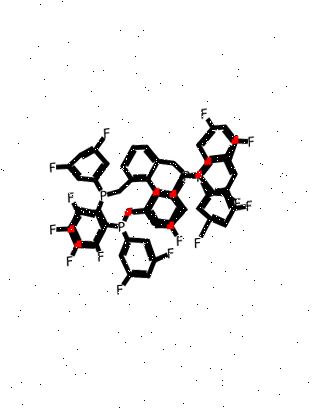 Fc1cc(F)cc(P(Cc2cccc(CP(c3cc(F)cc(F)c3)c3cc(F)cc(F)c3)c2-c2c(CP(c3cc(F)cc(F)c3)c3cc(F)cc(F)c3)cccc2CP(c2cc(F)cc(F)c2)c2cc(F)cc(F)c2)c2cc(F)cc(F)c2)c1